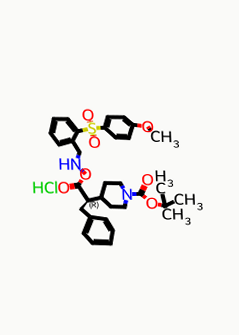 COc1ccc(S(=O)(=O)c2ccccc2CNOC(=O)[C@H](Cc2ccccc2)C2CCN(C(=O)OC(C)(C)C)CC2)cc1.Cl